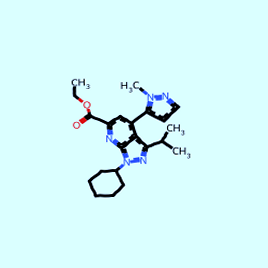 CCOC(=O)c1cc(-c2ccnn2C)c2c(C(C)C)nn(C3CCCCC3)c2n1